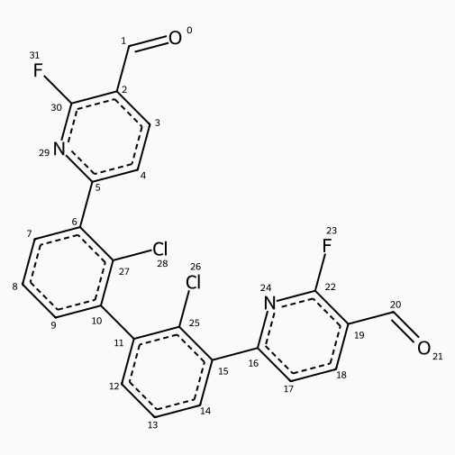 O=Cc1ccc(-c2cccc(-c3cccc(-c4ccc(C=O)c(F)n4)c3Cl)c2Cl)nc1F